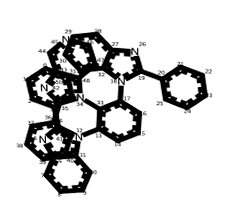 c1ccc(-c2nc3ccccc3n2-c2cccc(-n3c(-c4ccccc4)nc4ccccc43)c2-n2c(-c3ccccc3)nc3cnccc32)cc1